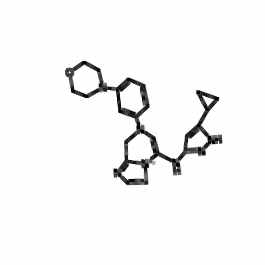 C1=C[N+]2C(Nc3cc(C4CC4)[nH]n3)=CN(c3cccc(N4CCOCC4)c3)CC2=N1